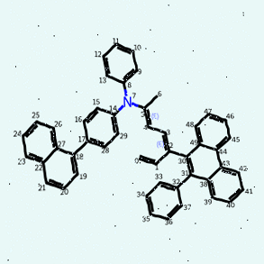 C=C/C(=C\C=C(/C)N(c1ccccc1)c1ccc(-c2cccc3ccccc23)cc1)c1c(-c2ccccc2)c2ccccc2c2ccccc12